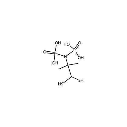 CC(C)(C(S)S)N(P(=O)(O)O)P(=O)(O)O